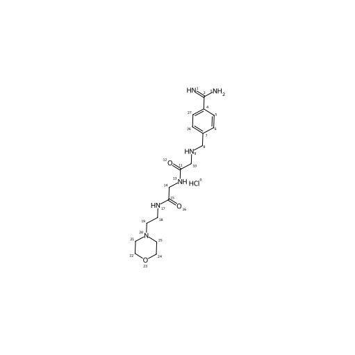 Cl.N=C(N)c1ccc(CNCC(=O)NCC(=O)NCCN2CCOCC2)cc1